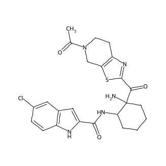 CC(=O)N1CCc2nc(C(=O)C3(N)CCCCC3NC(=O)c3cc4cc(Cl)ccc4[nH]3)sc2C1